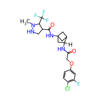 CN1NCC(C(=O)NC23CC(C2)[C@@H](NC(=O)COc2ccc(Cl)c(F)c2)C3)C1C(F)(F)F